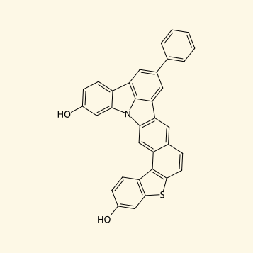 Oc1ccc2c(c1)sc1ccc3cc4c5cc(-c6ccccc6)cc6c7ccc(O)cc7n(c4cc3c12)c65